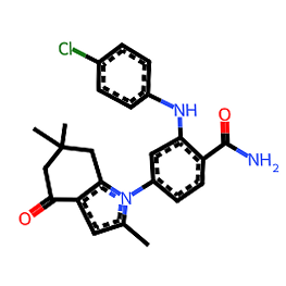 Cc1cc2c(n1-c1ccc(C(N)=O)c(Nc3ccc(Cl)cc3)c1)CC(C)(C)CC2=O